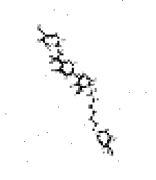 Cc1ccc(OCCCCCCOc2ccc(-c3ccc(C(=O)OC4CCC(C)CC4)c(F)c3)cc2F)cc1